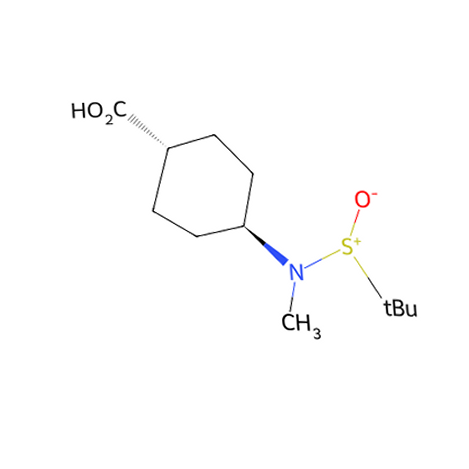 CN([C@H]1CC[C@H](C(=O)O)CC1)[S+]([O-])C(C)(C)C